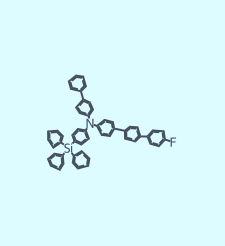 Fc1ccc(-c2ccc(-c3ccc(N(c4ccc(-c5ccccc5)cc4)c4ccc([Si](c5ccccc5)(c5ccccc5)c5ccccc5)cc4)cc3)cc2)cc1